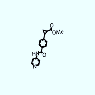 COC(=O)C1CC1c1ccc(C(=O)Nc2ccncc2)cc1